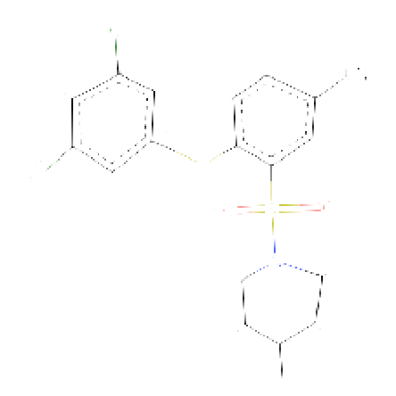 CC1CCN(S(=O)(=O)c2cc(C#N)ccc2Sc2cc(Cl)cc(Cl)c2)CC1